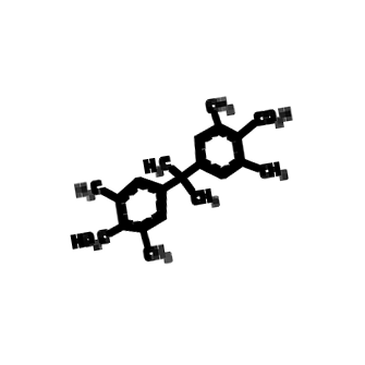 Cc1cc(C(C)(C)c2cc(C)c(C(=O)O)c(C)c2)cc(C)c1C(=O)O